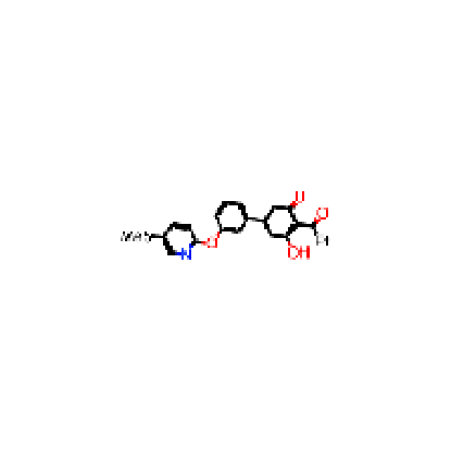 CCC(=O)C1=C(O)CC(c2cccc(Oc3ccc(SC)cn3)c2)CC1=O